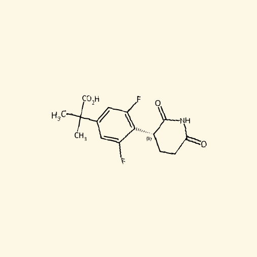 CC(C)(C(=O)O)c1cc(F)c([C@H]2CCC(=O)NC2=O)c(F)c1